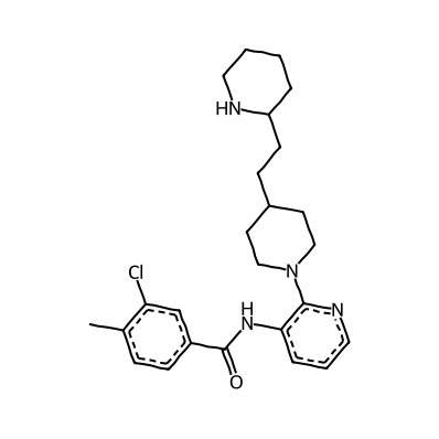 Cc1ccc(C(=O)Nc2cccnc2N2CCC(CCC3CCCCN3)CC2)cc1Cl